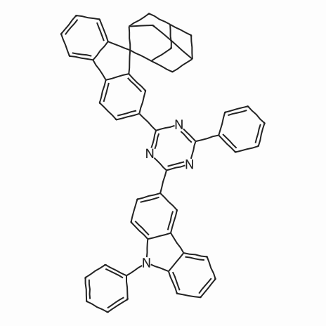 c1ccc(-c2nc(-c3ccc4c(c3)C3(c5ccccc5-4)C4CC5CC(C4)CC3C5)nc(-c3ccc4c(c3)c3ccccc3n4-c3ccccc3)n2)cc1